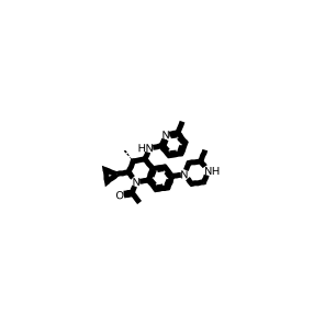 CC(=O)N1c2ccc(N3CCNC(C)C3)cc2C(Nc2cccc(C)n2)[C@@H](C)C1C1CC1